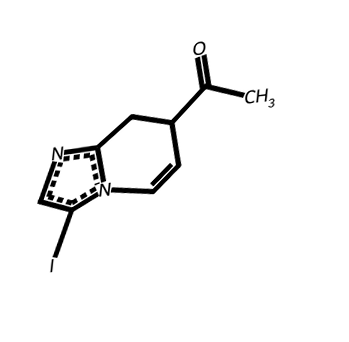 CC(=O)C1C=Cn2c(I)cnc2C1